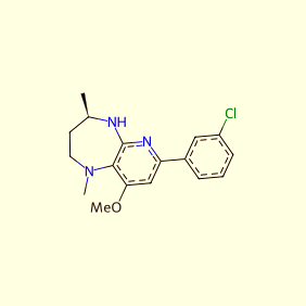 COc1cc(-c2cccc(Cl)c2)nc2c1N(C)CC[C@@H](C)N2